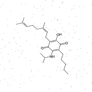 CCCCCC1=C(NC(C)C)C(=O)C(CC=C(C)CCC=C(C)C)=C(O)C1=O